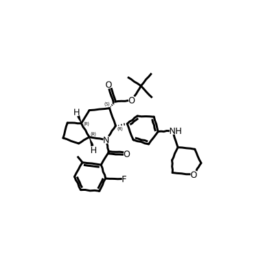 Cc1cccc(F)c1C(=O)N1[C@@H]2CCC[C@@H]2C[C@H](C(=O)OC(C)(C)C)[C@@H]1c1ccc(NC2CCOCC2)cc1